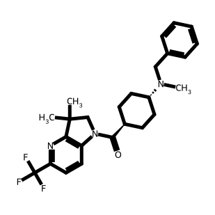 CN(Cc1ccccc1)[C@H]1CC[C@H](C(=O)N2CC(C)(C)c3nc(C(F)(F)F)ccc32)CC1